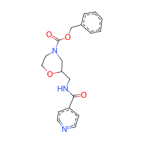 O=C(NCC1CN(C(=O)OCc2ccccc2)CCO1)c1ccncc1